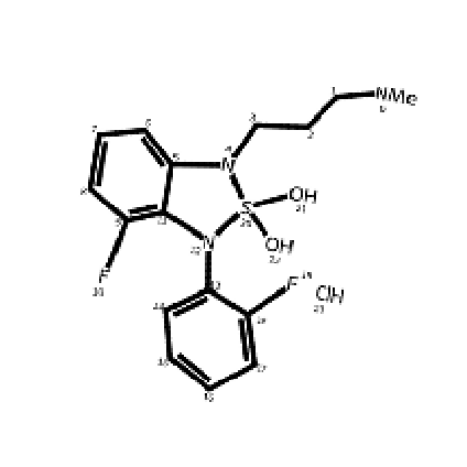 CNCCCN1c2cccc(F)c2N(c2ccccc2F)S1(O)O.Cl